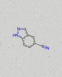 N#Cc1ccc2[nH]n[c]c2c1